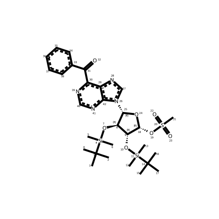 CC(C)(C)[Si](C)(C)O[C@@H]1[C@@H](O[Si](C)(C)C(C)(C)C)[C@@H](OS(C)(=O)=O)O[C@H]1n1cnc2c(C(=O)c3ccccc3)ncnc21